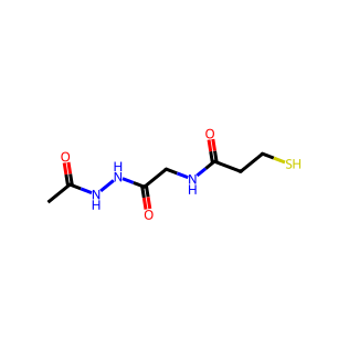 CC(=O)NNC(=O)CNC(=O)CCS